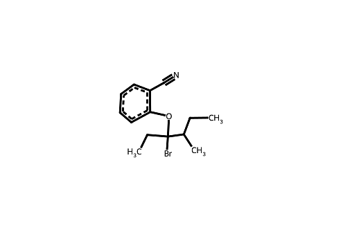 CCC(C)C(Br)(CC)Oc1ccccc1C#N